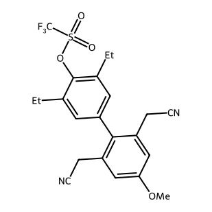 CCc1cc(-c2c(CC#N)cc(OC)cc2CC#N)cc(CC)c1OS(=O)(=O)C(F)(F)F